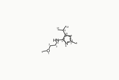 COCCNc1nn(C)cc1C(C)C